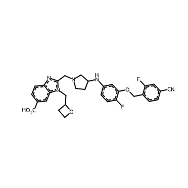 N#Cc1ccc(COc2cc(NC3CCN(Cc4nc5ccc(C(=O)O)cc5n4CC4CCO4)C3)ccc2F)c(F)c1